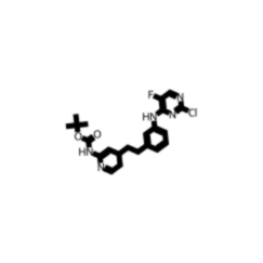 CC(C)(C)OC(=O)NC1=CC(CCc2cccc(Nc3nc(Cl)ncc3F)c2)CC=N1